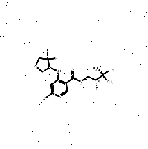 CC(C)(O)[C@H](F)CNC(=O)c1cnc(Cl)cc1NC1COCC1(F)F